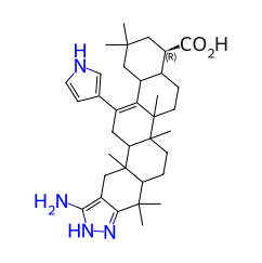 CC1(C)CC2C3=C(c4cc[nH]c4)CC4C5(C)Cc6c(n[nH]c6N)C(C)(C)C5CCC4(C)C3(C)CCC2[C@H](C(=O)O)C1